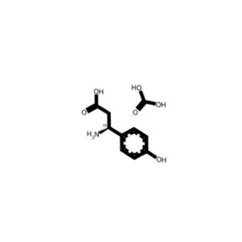 N[C@@H](CC(=O)O)c1ccc(O)cc1.O=C(O)O